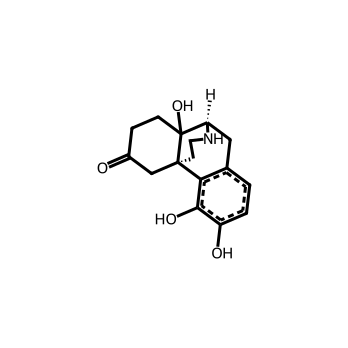 O=C1CCC2(O)[C@H]3Cc4ccc(O)c(O)c4[C@@]2(CCN3)C1